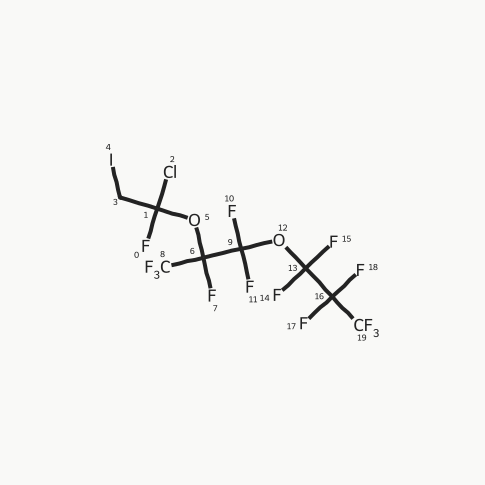 FC(Cl)(CI)OC(F)(C(F)(F)F)C(F)(F)OC(F)(F)C(F)(F)C(F)(F)F